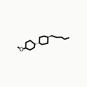 CCCCC[C@H]1CC[C@H](C2CCC(OC)CC2)CC1